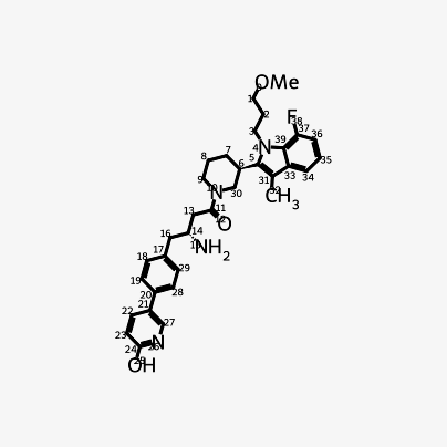 COCCCn1c([C@@H]2CCCN(C(=O)C[C@H](N)Cc3ccc(-c4ccc(O)nc4)cc3)C2)c(C)c2cccc(F)c21